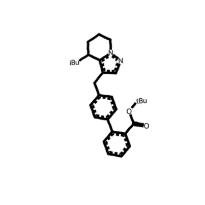 CCC(C)C1CCCn2ncc(Cc3ccc(-c4ccccc4C(=O)OC(C)(C)C)cc3)c21